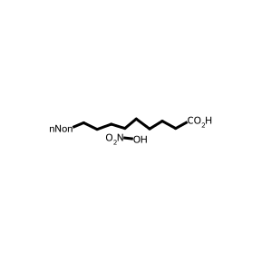 CCCCCCCCCCCCCCCCCC(=O)O.O=[N+]([O-])O